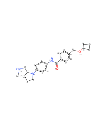 O=C(Nc1ccc(N2CCC3CNCC32)cc1)c1ccc(COC2CCC2)cc1